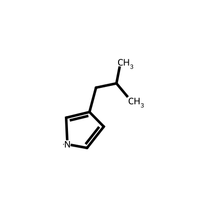 CC(C)CC1=C[N]C=C1